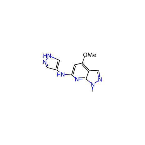 COc1cc(Nc2cn[nH]c2)nc2c1cnn2C